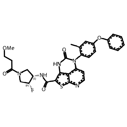 COCCC(=O)N1C[C@@H](F)[C@@H](NC(=O)c2sc3nccc4c3c2NC(=O)N4c2ccc(Oc3ccccc3)cc2C)C1